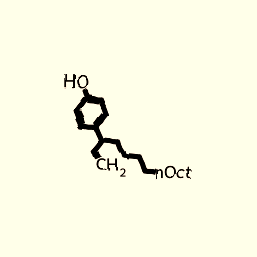 C=CC(CCCCCCCCCCCC)c1ccc(O)cc1